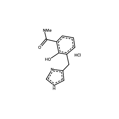 CNC(=O)c1cccc(Cc2c[nH]cn2)c1O.Cl